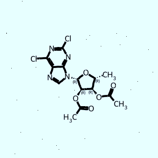 CC(=O)O[C@@H]1[C@H](OC(C)=O)[C@@H](C)O[C@H]1n1cnc2c(Cl)nc(Cl)nc21